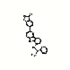 CC(Nc1cccc2c1[nH]c1ccc(-c3ccc4c(c3)CNC4=O)cc12)c1ccccc1